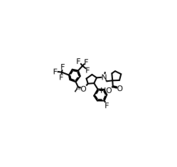 C[C@H](OC1CCC(N(C)CC2(C(=O)O)CCCC2)C1c1ccc(F)cc1)c1cc(C(F)(F)F)cc(C(F)(F)F)c1